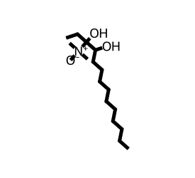 CCCCCCCCCCC(O)C(O)(CC)[N+](C)(C)[O-]